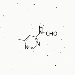 Cc1cc(NC=O)ncn1